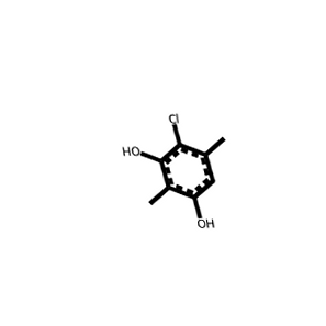 Cc1cc(O)c(C)c(O)c1Cl